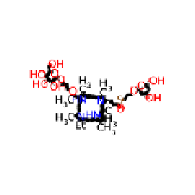 CCC1=C(C)c2cc3[nH]c(cc4nc(c(C)c5cc(C)c(cc1n2)[nH]5)[C@@H](CCC(=O)SCCCO[C@H]1C[C@@H](O)C[C@@H](CO)O1)[C@@H]4C)c(C)c3C(C)OCCCO[C@@H]1O[C@H](CO)[C@@H](O)[C@H](O)[C@H]1O